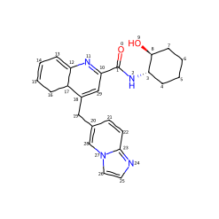 O=C(N[C@H]1CCCC[C@@H]1O)C1=NC2=CC=CCC2C(Cc2ccc3nccn3c2)=C1